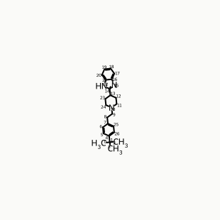 CC(C)(C)c1ccc(CCN2CCC(c3nc4ccccc4[nH]3)CC2)cc1